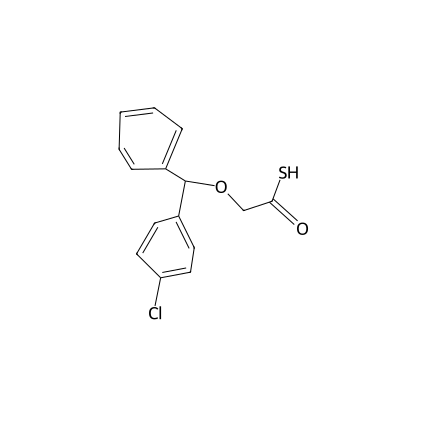 O=C(S)COC(c1ccccc1)c1ccc(Cl)cc1